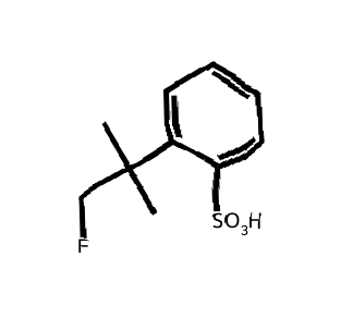 CC(C)(CF)c1ccccc1S(=O)(=O)O